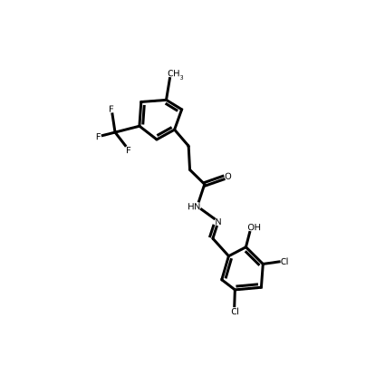 Cc1cc(CCC(=O)N/N=C/c2cc(Cl)cc(Cl)c2O)cc(C(F)(F)F)c1